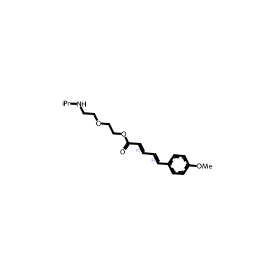 COc1ccc(/C=C/C=C/C(=O)OCCOCCNC(C)C)cc1